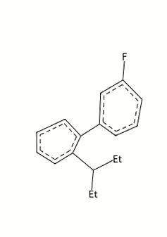 CCC(CC)c1ccccc1-c1cccc(F)c1